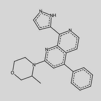 CC1COCCN1c1cc(-c2ccccc2)c2ccnc(-c3ccn[nH]3)c2n1